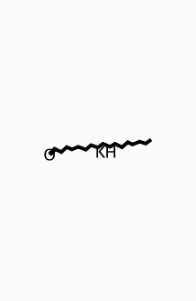 CCCCCCCCCCCCCCCCC=O.[KH]